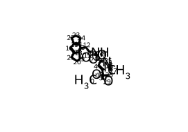 COC1(c2cc(S(=O)(=O)NC(=O)Cc3c4c(cc5c3CCC5)CCC4)nn2C)COC1